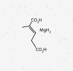 CC(=CCC(=O)O)C(=O)O.[MgH2]